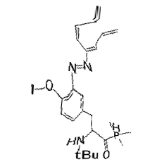 C=C/C=C\C(=C/C=C)N=Nc1cc(CC(NC(C)(C)C)C(=O)[PH](C)(C)C)ccc1OI